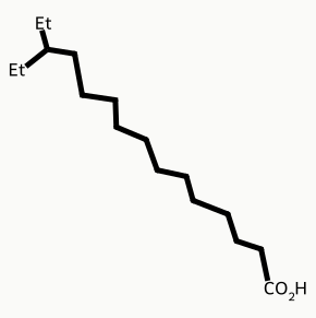 CCC(CC)CCCCCCCCCCCC(=O)O